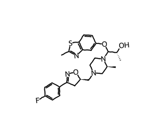 Cc1nc2cc(OC([C@@H](C)O)N3CCN(C[C@H]4CC(c5ccc(F)cc5)=NO4)C[C@@H]3C)ccc2s1